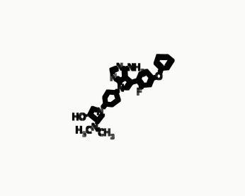 CN(C)[C@@H]1CN(C2CCC(n3cc(-c4ccc(Oc5ccccc5)cc4F)c4c(N)ncnc43)CC2)C[C@H]1O